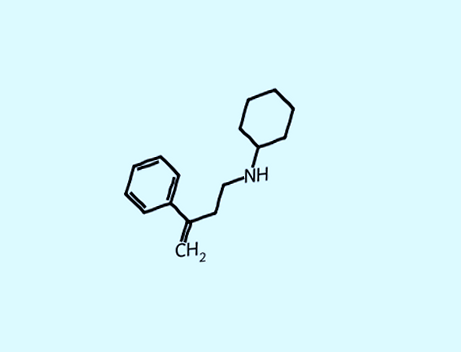 C=C(CCNC1CCCCC1)c1ccccc1